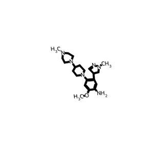 COc1cc(N2CCC(N3CCN(C)CC3)CC2)c(C2C=NN(C)C2)cc1N